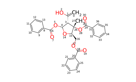 C=C(O)[C@H]1C(OC(=O)c2ccccc2)O[C@H](COC(=O)c2ccccc2)[C@@]1(C)OC(=O)c1ccccc1